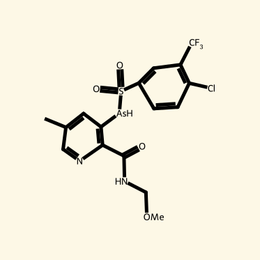 COCNC(=O)c1ncc(C)cc1[AsH]S(=O)(=O)c1ccc(Cl)c(C(F)(F)F)c1